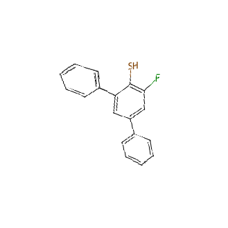 Fc1cc(-c2ccccc2)cc(-c2ccccc2)c1S